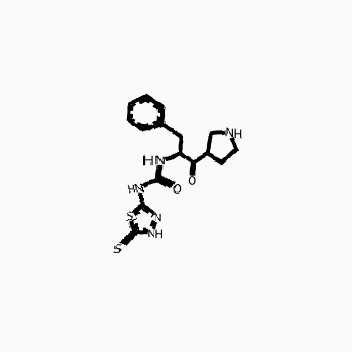 O=C(Nc1n[nH]c(=S)s1)NC(Cc1ccccc1)C(=O)C1CCNC1